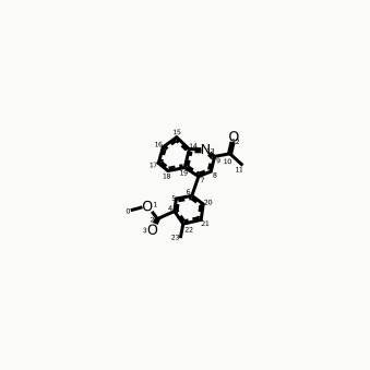 COC(=O)c1cc(-c2cc(C(C)=O)nc3ccccc23)ccc1C